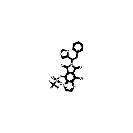 O=C1c2c(c(OS(=O)(=O)C(F)(F)F)c3nccnc3c2O)C(=O)N1C(Cc1ccccc1)C1=COCO1